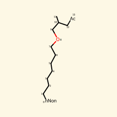 CCCCCCCCCCCCCCCCOCC(C)CC(C)=O